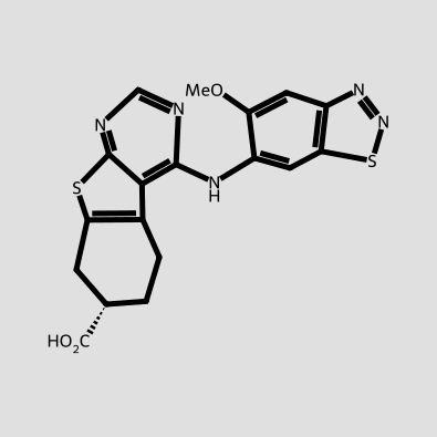 COc1cc2nnsc2cc1Nc1ncnc2sc3c(c12)CC[C@H](C(=O)O)C3